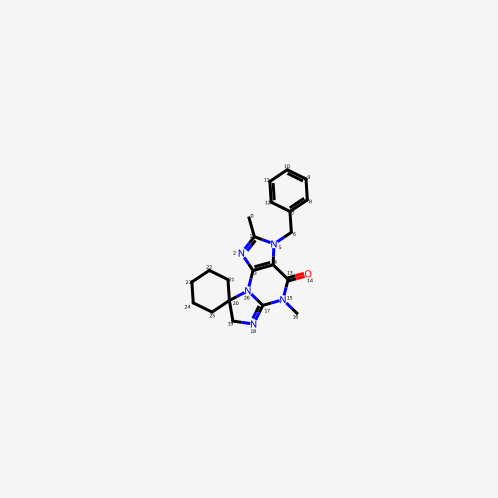 Cc1nc2c(n1Cc1ccccc1)C(=O)N(C)C1=NCC3(CCCCC3)N12